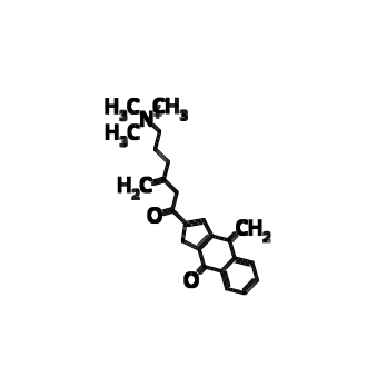 C=C(CCC[N+](C)(C)C)CC(=O)C1=CC2=C(C1)C(=O)c1ccccc1C2=C